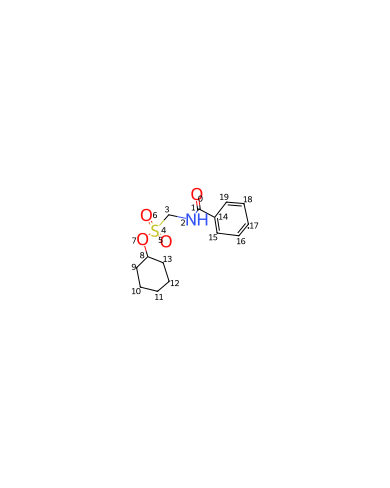 O=C(NCS(=O)(=O)OC1CCCCC1)c1cc[c]cc1